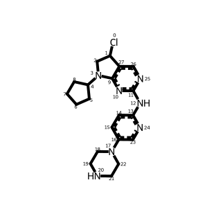 ClC1CN(C2CCCC2)c2nc(Nc3ccc(N4CCNCC4)cn3)ncc21